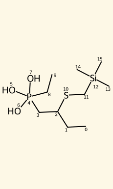 CCC(CP(O)(O)(O)CC)SC[Si](C)(C)C